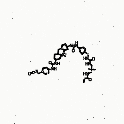 C=CC(=O)NCC(C)(C)CNC(=O)NCc1ccc(NC(=O)Nc2ccc3cc4ccc(NC(=O)Nc5ccc(CN=C=O)cc5)cc4[n+](C)c3c2)cc1